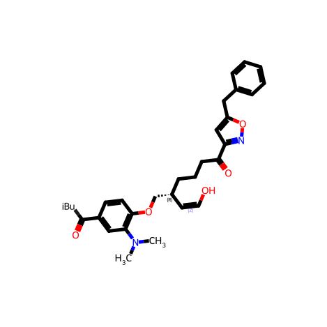 CCC(C)C(=O)c1ccc(OC[C@@H](/C=C\O)CCCC(=O)c2cc(Cc3ccccc3)on2)c(N(C)C)c1